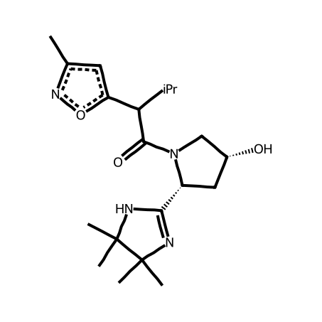 Cc1cc(C(C(=O)N2C[C@H](O)C[C@@H]2C2=NC(C)(C)C(C)(C)N2)C(C)C)on1